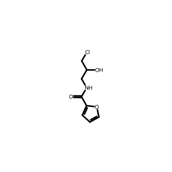 O=C(NCC(O)CCl)c1ccco1